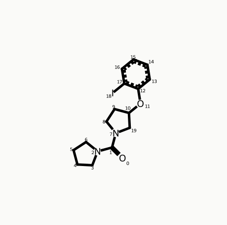 O=C(N1CCCC1)N1CCC(Oc2cc[c]cc2I)C1